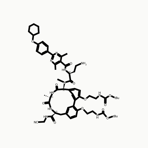 Cc1nc(-c2ccc(OC3CCCCC3)cc2)nc(C)c1C(=O)N[C@@H](CCN)C(=O)N(C)[C@@H]1C(=O)N[C@@H](C)C(=O)N[C@H](C(=O)NCC#N)Cc2ccc(OCCNC(=O)OC(C)(C)C)c(c2)-c2cc1ccc2OCCNC(=O)OC(C)(C)C